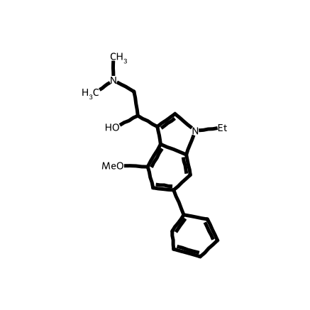 CCn1cc(C(O)CN(C)C)c2c(OC)cc(-c3ccccc3)cc21